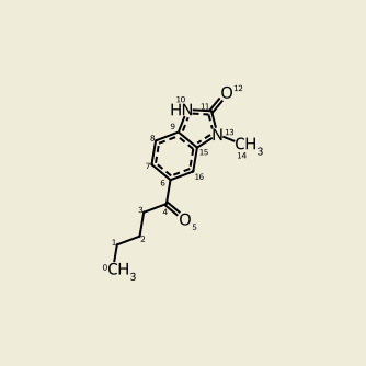 CCCCC(=O)c1ccc2[nH]c(=O)n(C)c2c1